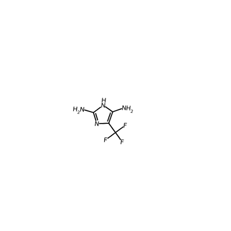 Nc1nc(C(F)(F)F)c(N)[nH]1